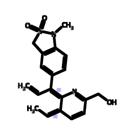 C=C/C(c1ccc2c(c1)CS(=O)(=O)N2C)=c1/nc(CO)cc/c1=C/C